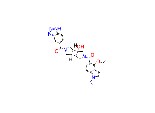 CCOc1c(C(=O)N2CC3[C@H]4CN(C(=O)c5ccc6[nH]nnc6c5)C[C@H]4C3(O)C2)ccc2c1ccn2CC